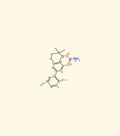 CC1(C)CCc2cc(-c3cc(F)ccc3F)ccc2C1OC(N)=O